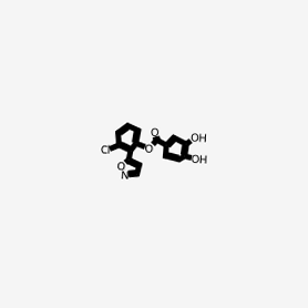 O=C(Oc1cccc(Cl)c1-c1ccno1)c1ccc(O)c(O)c1